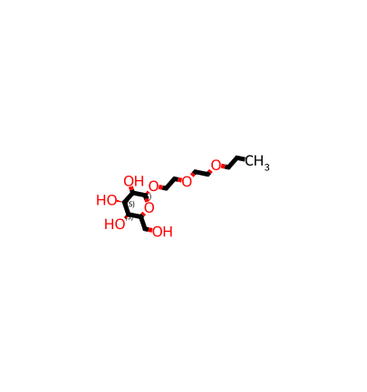 CCCOCCOCCO[C@H]1OC(CO)[C@@H](O)[C@H](O)C1O